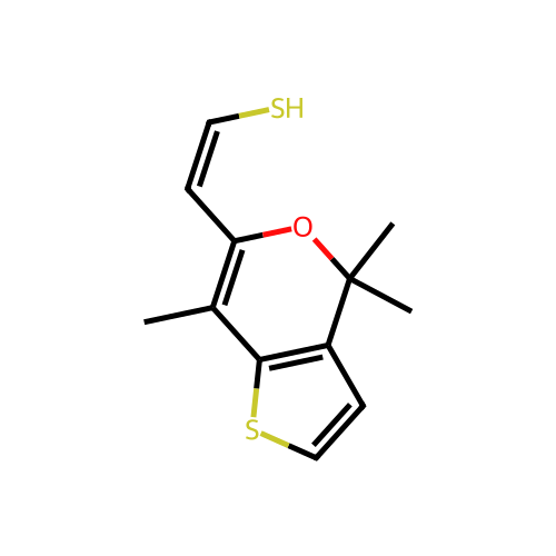 CC1=C(/C=C\S)OC(C)(C)c2ccsc21